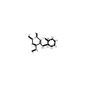 C=C\C=C(C=C)/C(=C\C=C)/C=c1/ccccc1=C